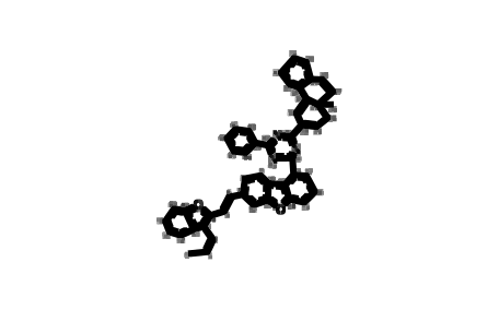 C/C=C\c1c(/C=C/c2ccc3c(c2)oc2cccc(-c4nc(C5=CCC6(C)C=Cc7ccccc7C6=C5)nc(-c5ccccc5)n4)c23)oc2ccccc12